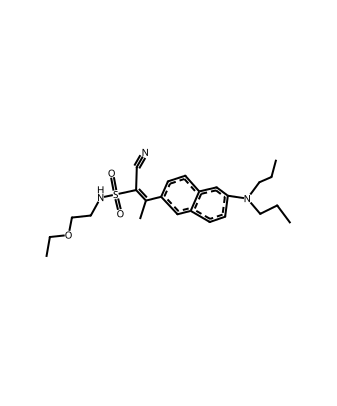 CCCN(CCC)c1ccc2cc(/C(C)=C(\C#N)S(=O)(=O)NCCOCC)ccc2c1